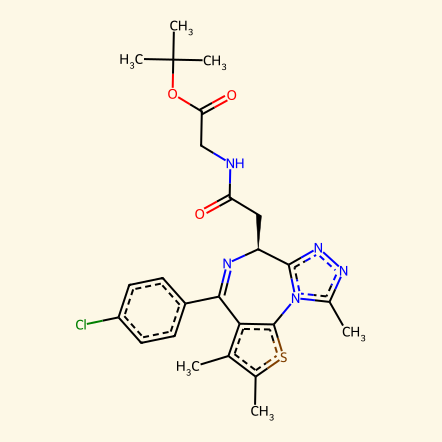 Cc1sc2c(c1C)C(c1ccc(Cl)cc1)=N[C@@H](CC(=O)NCC(=O)OC(C)(C)C)c1nnc(C)n1-2